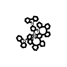 c1ccc2c(c1)c1ccccc1c1cc3c4ccccc4c4ccccc4c4ccccc4n4c3c3c1n(c1ccccc21)-c1cc(-n2c5ccccc5c5ccccc52)ccc1B3c1ccc(-n2c3ccccc3c3ccccc32)cc1-4